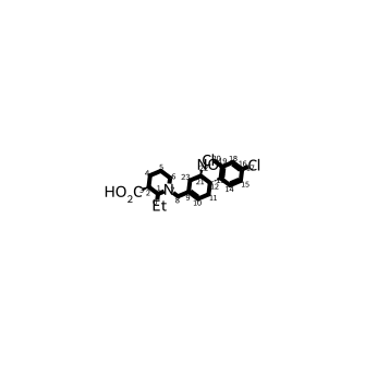 CCC1[C@@H](C(=O)O)CCCN1CC1=CC[C@@H](c2ccc(Cl)cc2Cl)[C@H]([N+](=O)[O-])C1